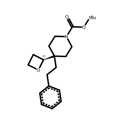 CC(C)(C)OC(=O)N1CCC(CCc2ccccc2)([C@@H]2CCO2)CC1